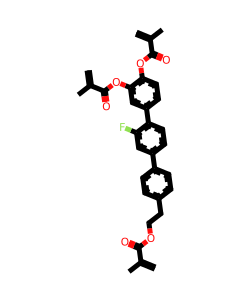 C=C(C)C(=O)OCCc1ccc(-c2ccc(-c3ccc(OC(=O)C(=C)C)c(OC(=O)C(=C)C)c3)c(F)c2)cc1